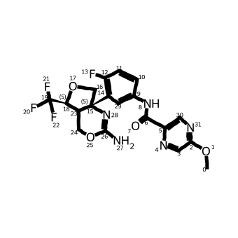 COc1cnc(C(=O)Nc2ccc(F)c([C@]34CO[C@H](C(F)(F)F)C3COC(N)=N4)c2)cn1